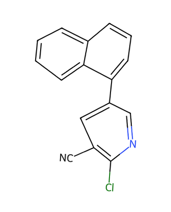 N#Cc1cc(-c2cccc3ccccc23)cnc1Cl